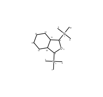 C[Si](C)(C)C1OC([Si](C)(C)C)C2C[CH][CH]CC21